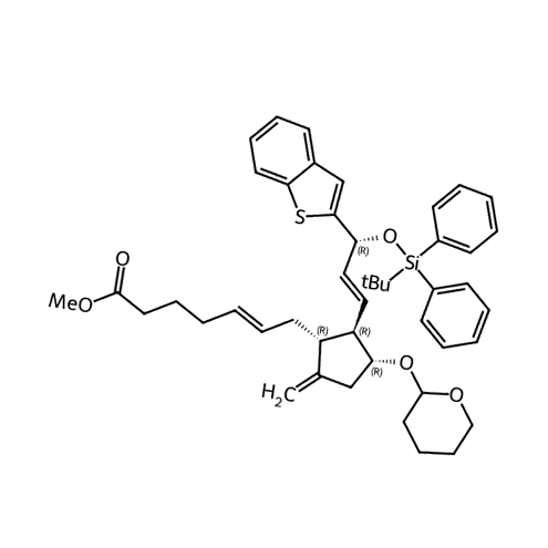 C=C1C[C@@H](OC2CCCCO2)[C@H](C=C[C@@H](O[Si](c2ccccc2)(c2ccccc2)C(C)(C)C)c2cc3ccccc3s2)[C@H]1CC=CCCCC(=O)OC